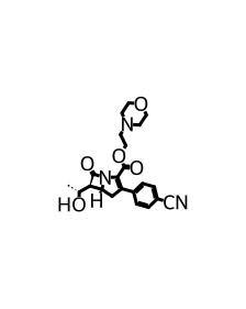 C[C@@H](O)[C@H]1C(=O)N2C(C(=O)OCCN3CCOCC3)=C(c3ccc(C#N)cc3)C[C@H]12